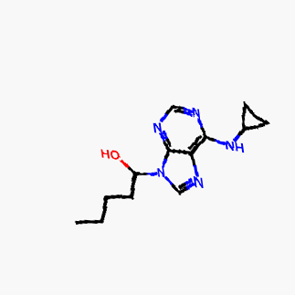 CCCCC(O)n1cnc2c(NC3CC3)ncnc21